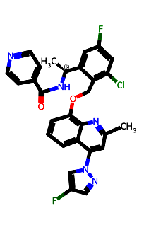 Cc1cc(-n2cc(F)cn2)c2cccc(OCc3c(Cl)cc(F)cc3[C@H](C)NC(=O)c3ccncc3)c2n1